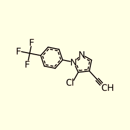 C#Cc1cnn(-c2ccc(C(F)(F)F)cc2)c1Cl